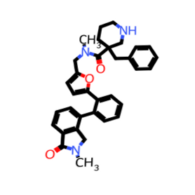 CN1Cc2c(cccc2-c2ccccc2-c2ccc(CN(C)C(=O)C3(Cc4ccccc4)CCCNC3)o2)C1=O